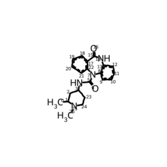 CC1CC(NC(=O)N2c3ccccc3NC(=O)c3ccccc32)CCN1C